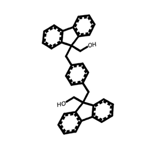 OCC1(Cc2ccc(CC3(CO)c4ccccc4-c4ccccc43)cc2)c2ccccc2-c2ccccc21